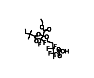 CCOC(=O)C(OCCC(F)(F)C(F)(F)S(=O)(=O)O)(OC(=O)C(C)(C)CC)C(F)(F)F